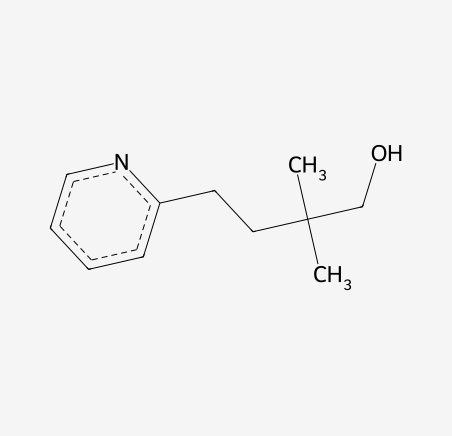 CC(C)(CO)CCc1ccccn1